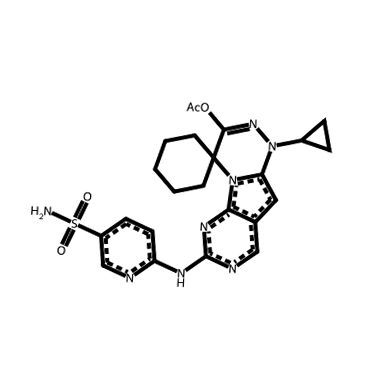 CC(=O)OC1=NN(C2CC2)c2cc3cnc(Nc4ccc(S(N)(=O)=O)cn4)nc3n2C12CCCCC2